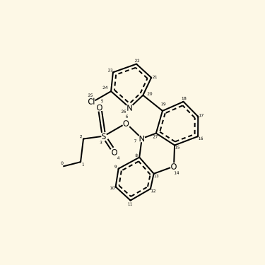 CCCS(=O)(=O)ON1c2ccccc2Oc2cccc(-c3cccc(Cl)n3)c21